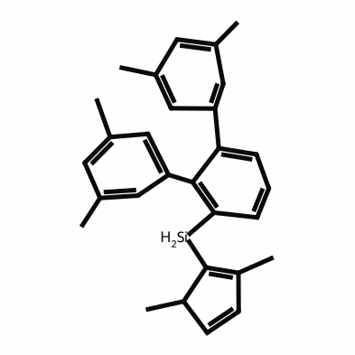 CC1=C([SiH2]c2cccc(-c3cc(C)cc(C)c3)c2-c2cc(C)cc(C)c2)C(C)C=C1